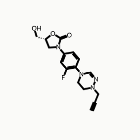 C#CCN1CCN(c2ccc(N3C[C@H](CO)OC3=O)cc2F)C=N1